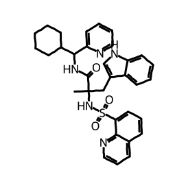 CC(Cc1c[nH]c2ccccc12)(NS(=O)(=O)c1cccc2cccnc12)C(=O)NC(c1ccccn1)C1CCCCC1